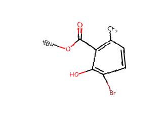 CC(C)(C)OC(=O)c1c(C(F)(F)F)ccc(Br)c1O